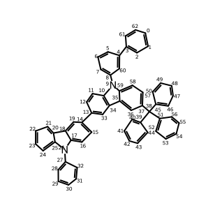 c1ccc(-c2cccc(-n3c4ccc(-c5ccc6c(c5)c5ccccc5n6-c5ccccc5)cc4c4cc(C(c5ccccc5)(c5ccccc5)c5ccccc5)ccc43)c2)cc1